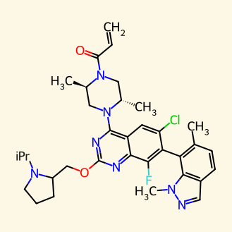 C=CC(=O)N1C[C@H](C)N(c2nc(OCC3CCCN3C(C)C)nc3c(F)c(-c4c(C)ccc5cnn(C)c45)c(Cl)cc23)C[C@H]1C